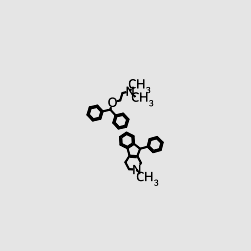 CN(C)CCOC(c1ccccc1)c1ccccc1.CN1CCC2=C(C1)C(c1ccccc1)c1ccccc12